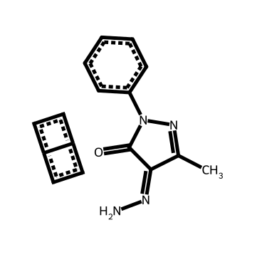 CC1=NN(c2ccccc2)C(=O)C1=NN.c1cc2ccc1-2